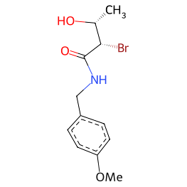 COc1ccc(CNC(=O)[C@@H](Br)[C@@H](C)O)cc1